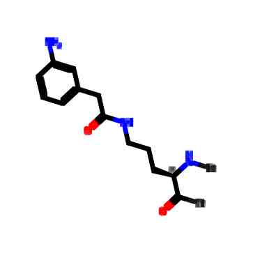 CCN[C@H](CCCNC(=O)Cc1cccc(N)c1)C(=O)CC